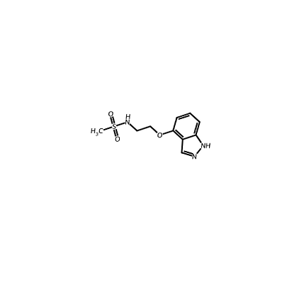 CS(=O)(=O)NCCOc1cccc2[nH]ncc12